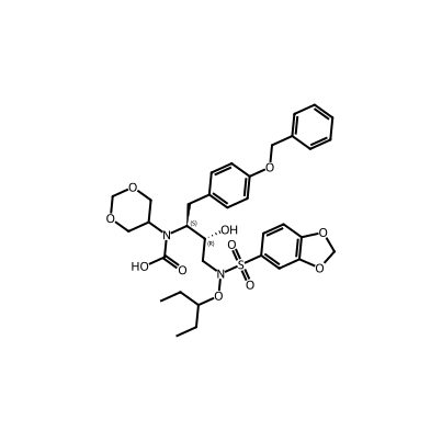 CCC(CC)ON(C[C@@H](O)[C@H](Cc1ccc(OCc2ccccc2)cc1)N(C(=O)O)C1COCOC1)S(=O)(=O)c1ccc2c(c1)OCO2